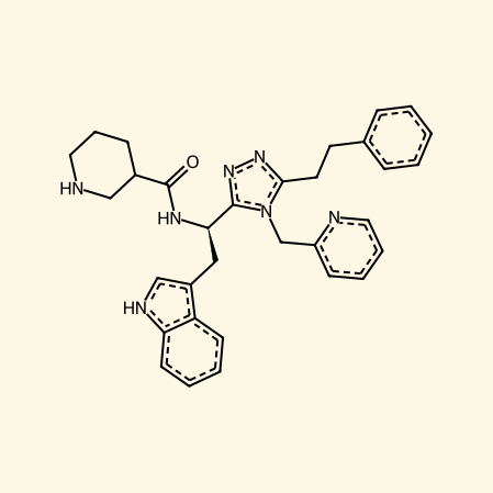 O=C(N[C@H](Cc1c[nH]c2ccccc12)c1nnc(CCc2ccccc2)n1Cc1ccccn1)C1CCCNC1